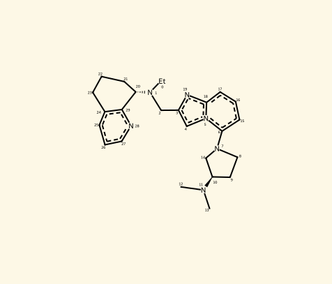 CCN(Cc1cn2c(N3CC[C@@H](N(C)C)C3)cccc2n1)[C@H]1CCCc2cccnc21